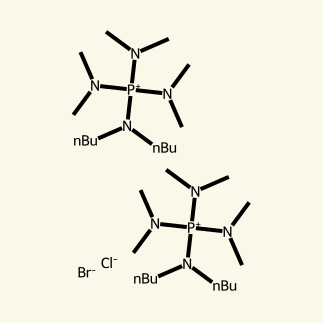 CCCCN(CCCC)[P+](N(C)C)(N(C)C)N(C)C.CCCCN(CCCC)[P+](N(C)C)(N(C)C)N(C)C.[Br-].[Cl-]